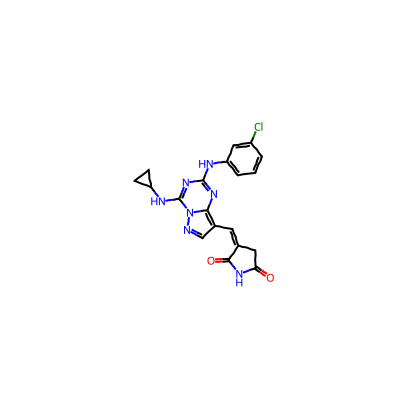 O=C1CC(=Cc2cnn3c(NC4CC4)nc(Nc4cccc(Cl)c4)nc23)C(=O)N1